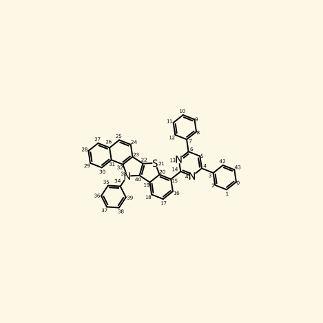 c1ccc(-c2cc(-c3ccccc3)nc(-c3cccc4c3sc3c5ccc6ccccc6c5n(-c5ccccc5)c43)n2)cc1